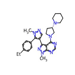 CCc1ccc(-c2c(-c3nn(C)c4ncnc(N5CC[C@H](N6CCCCC6)C5)c34)cnn2C)cc1